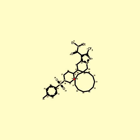 CCN(CC)C(=O)c1c(C(F)(F)F)nn2c1CC(C1CCN(S(=O)(=O)c3ccc(C)cc3)CC1)C1(CCCCCCCCCC1)C2